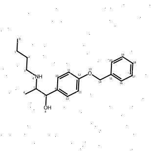 CCCCNC(C)C(O)c1ccc(OCc2ccccc2)cc1